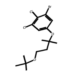 CC(C)(C)OCCC(C)(C)Oc1cc(Cl)c(Cl)c(Br)c1